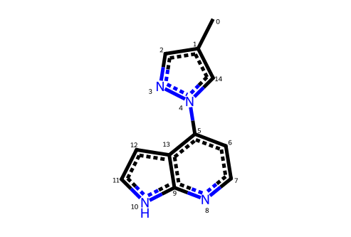 Cc1cnn(-c2ccnc3[nH]ccc23)c1